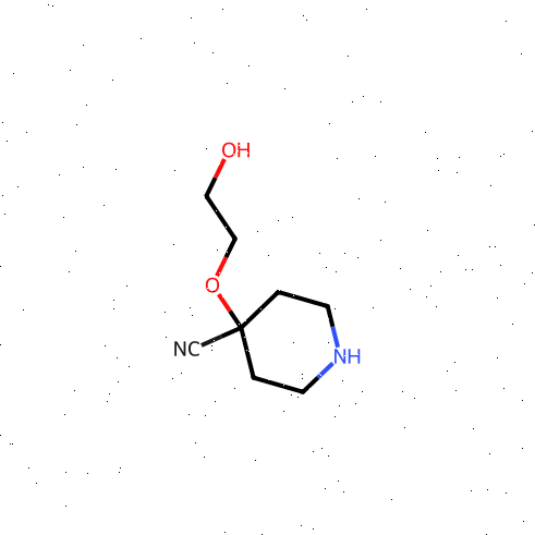 N#CC1(OCCO)CCNCC1